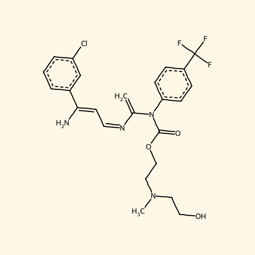 C=C(/N=C\C=C(/N)c1cccc(Cl)c1)N(C(=O)OCCN(C)CCO)c1ccc(C(F)(F)F)cc1